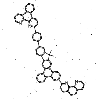 CC1(C)c2cc(-c3ccc(-c4ccc5c6ccccc6c6cccnc6c5n4)cc3)ccc2-c2cc3c4ccccc4c4cc(-c5ccc6ccc7cccnc7c6n5)ccc4c3cc21